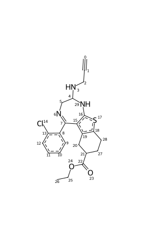 C#CCNC1CN=C(c2ccccc2Cl)c2c(sc3c2CC(C(=O)OCC)CC3)N1